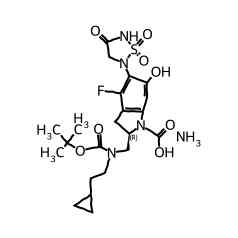 CC(C)(C)OC(=O)N(CCC1CC1)C[C@H]1Cc2c(cc(O)c(N3CC(=O)NS3(=O)=O)c2F)N1C(=O)O.N